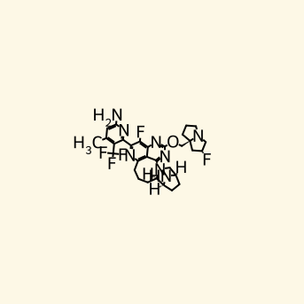 Cc1cc(N)nc(-c2nc3c4c(nc(OC[C@@]56CCCN5C[C@H](F)C6)nc4c2F)N2C[C@H]4CC[C@H](N4)[C@H]2CCC3)c1C(F)(F)F